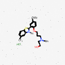 COc1ccc(OCCCN(CCO)C(C)C)c(C2Sc3ccc(C(F)(F)F)cc3N2C(C)=O)c1.Cl